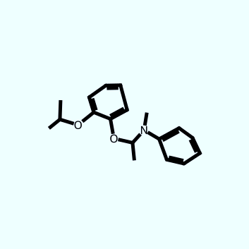 CC(C)Oc1ccccc1OC(C)N(C)c1ccccc1